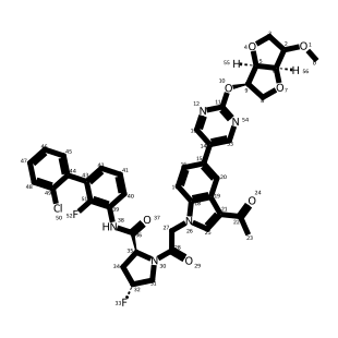 COC1CO[C@H]2[C@@H]1OC[C@H]2Oc1ncc(-c2ccc3c(c2)c(C(C)=O)cn3CC(=O)N2C[C@H](F)C[C@H]2C(=O)Nc2cccc(-c3ccccc3Cl)c2F)cn1